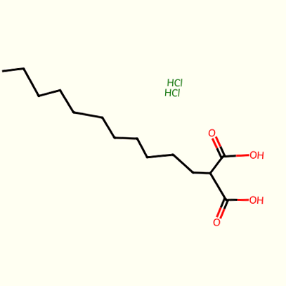 CCCCCCCCCCCC(C(=O)O)C(=O)O.Cl.Cl